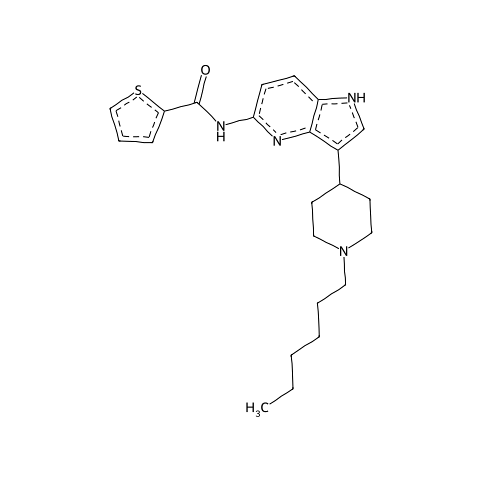 CCCCCCN1CCC(c2c[nH]c3ccc(NC(=O)c4cccs4)nc23)CC1